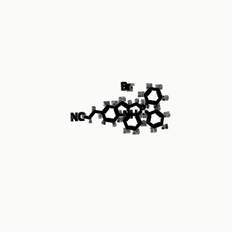 N#CCCc1ccc2[nH]c(C[P+](c3ccccc3)(c3ccccc3)c3ccccc3)cc2c1.[Br-]